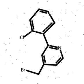 Clc1ccccc1-c1cc(CBr)ccn1